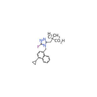 CC(C)(Cc1nnc(I)n1Cc1ccc(C2CC2)c2ccccc12)C(=O)O